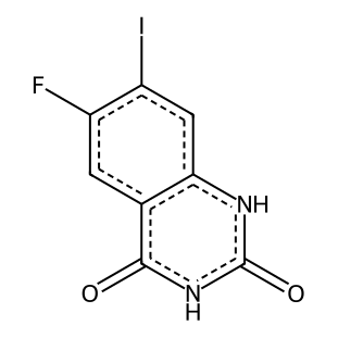 O=c1[nH]c(=O)c2cc(F)c(I)cc2[nH]1